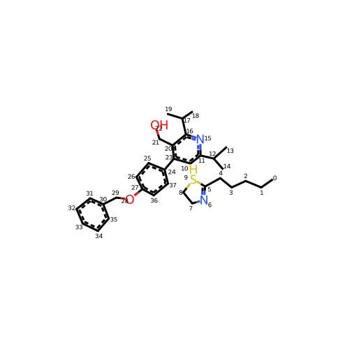 CCCCCC1=NCC[SH]1c1c(C(C)C)nc(C(C)C)c(CO)c1-c1ccc(OCc2ccccc2)cc1